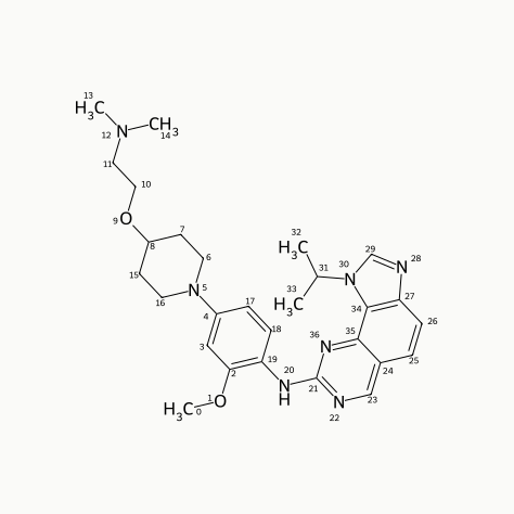 COc1cc(N2CCC(OCCN(C)C)CC2)ccc1Nc1ncc2ccc3ncn(C(C)C)c3c2n1